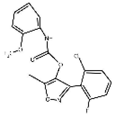 Cc1onc(-c2c(F)cccc2Cl)c1OC(=O)Nc1ccccc1OC(F)(F)F